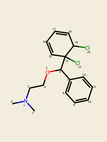 CN(C)CCOC(c1ccccc1)C1(Cl)C=CC=CC1Cl